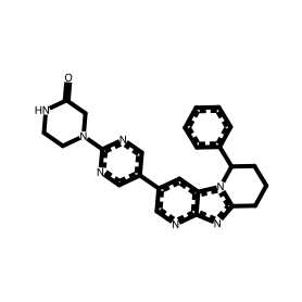 O=C1CN(c2ncc(-c3cnc4nc5n(c4c3)C(c3ccccc3)CCC5)cn2)CCN1